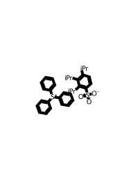 CC(C)c1ccc(S(=O)(=O)[O-])c(C(C)C)c1C(C)C.c1ccc([S+](c2ccccc2)c2ccccc2)cc1